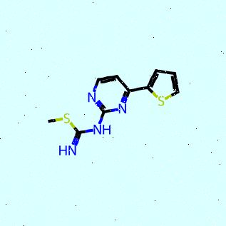 CSC(=N)Nc1nccc(-c2cccs2)n1